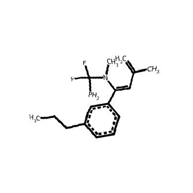 C=C(C)/C=C(/c1cccc(CCC)c1)N(C)C(F)(F)P